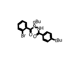 CCCCN(NC(=O)c1ccc(C(C)(C)C)cc1)C(=O)c1ccccc1Br